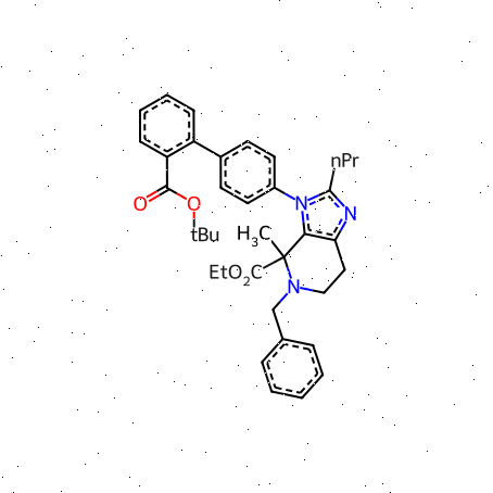 CCCc1nc2c(n1-c1ccc(-c3ccccc3C(=O)OC(C)(C)C)cc1)C(C)(C(=O)OCC)N(Cc1ccccc1)CC2